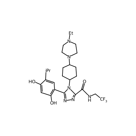 CCN1CCN(C2CCC(n3c(C(=O)NCC(F)(F)F)nnc3-c3cc(C(C)C)c(O)cc3O)CC2)CC1